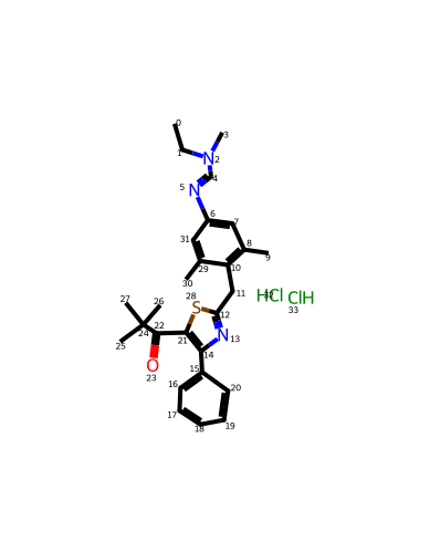 CCN(C)C=Nc1cc(C)c(Cc2nc(-c3ccccc3)c(C(=O)C(C)(C)C)s2)c(C)c1.Cl.Cl